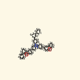 c1ccc(-c2cccc(-c3ccc(N(c4ccc(-c5ccc6oc7ccccc7c6c5)cc4)c4ccc(-c5ccc6oc7c(-c8ccccc8)cccc7c6c5)cc4)cc3)c2)cc1